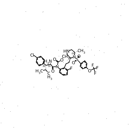 COC(=O)N(C(=O)[C@@H](N)[C@@H](c1ccc(Cl)cc1)C(C)C)c1cccc(F)c1CC[C@H]1CNC[C@H](C)N1S(=O)(=O)c1ccc(OC(F)(F)F)cc1